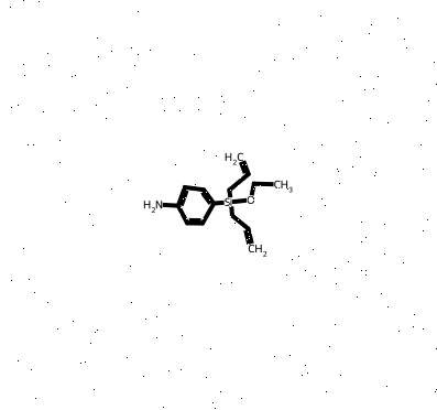 C=CC[Si](CC=C)(OCC)c1ccc(N)cc1